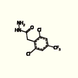 NNC(=O)Cc1c(Cl)cc(C(F)(F)F)cc1Cl